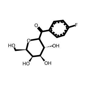 O=C([C]1O[C@H](CO)[C@H](O)[C@H](O)[C@H]1O)c1ccc(F)cc1